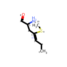 CC/C=C(/CC(N)C=O)SC